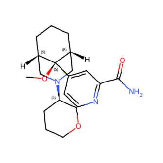 CO[C@]1(c2ccnc(C(N)=O)c2)[C@@H]2CCC[C@H]1CN([C@@H]1CCCOC1)C2